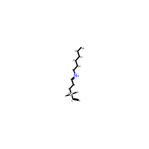 C=C[Si](C)(C)CCC=NCCCCCC